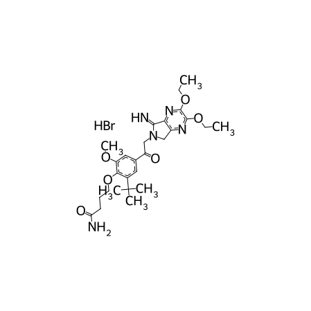 Br.CCOc1nc2c(nc1OCC)C(=N)N(CC(=O)c1cc(OC)c(OCCCC(N)=O)c(C(C)(C)C)c1)C2